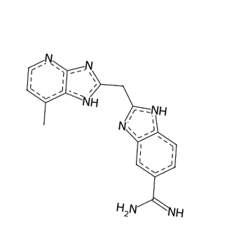 Cc1ccnc2nc(Cc3nc4cc(C(=N)N)ccc4[nH]3)[nH]c12